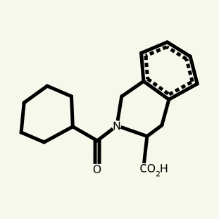 O=C(O)C1Cc2ccccc2CN1C(=O)C1CCCCC1